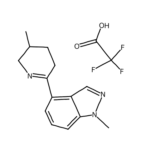 CC1CCC(c2cccc3c2cnn3C)=NC1.O=C(O)C(F)(F)F